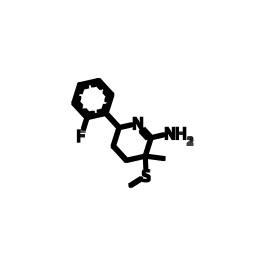 CSC1(C)CCC(c2ccccc2F)N=C1N